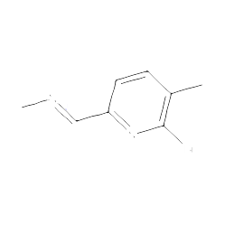 C/N=C/c1ccc(C)c(Br)n1